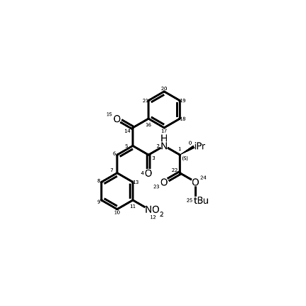 CC(C)[C@H](NC(=O)C(=Cc1cccc([N+](=O)[O-])c1)C(=O)c1ccccc1)C(=O)OC(C)(C)C